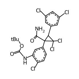 CC(C)(C)OC(=O)Nc1cc(C2(C(N)=O)C(c3cc(Cl)cc(Cl)c3)C2(Cl)Cl)ccc1Cl